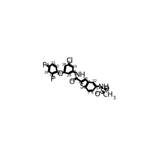 CS(=O)(=O)Nc1ccc2sc(C(=O)Nc3cc(Cl)cc(Oc4ccc(F)cc4F)c3)cc2c1